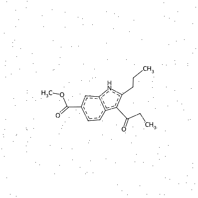 CCCc1[nH]c2cc(C(=O)OC)ccc2c1C(=O)CC